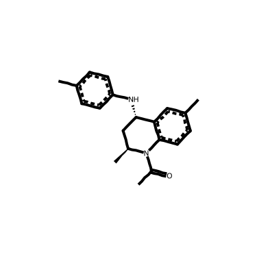 CC(=O)N1c2ccc(C)cc2[C@@H](Nc2ccc(C)cc2)C[C@@H]1C